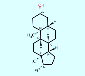 CC[C@H]1CC[C@H]2[C@@H]3CC[C@H]4C[C@@H](O)CC[C@]4(C)[C@H]3CC[C@]12C